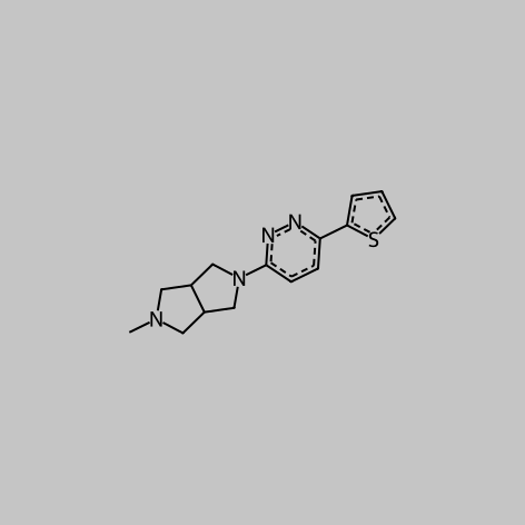 CN1CC2CN(c3ccc(-c4cccs4)nn3)CC2C1